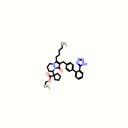 CCCCCc1c(Cc2ccc(-c3ccccc3-c3nnn[nH]3)cc2)c(=O)n2n1CCCC2C1(C(=O)OCC)CCCC1